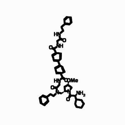 CO[C@H]1C[C@@H](CN(CCc2ccccc2)C(=O)CNC(=O)c2ccc(-c3ccc(C(=O)NCC(=O)NCCc4ccccc4)cc3)cc2)N(C(=O)[C@@H](N)C2CCCCC2)C1